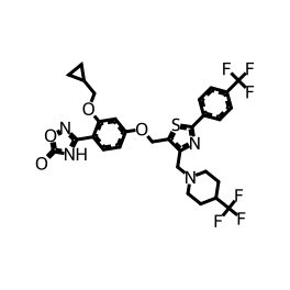 O=c1[nH]c(-c2ccc(OCc3sc(-c4ccc(C(F)(F)F)cc4)nc3CN3CCC(C(F)(F)F)CC3)cc2OCC2CC2)no1